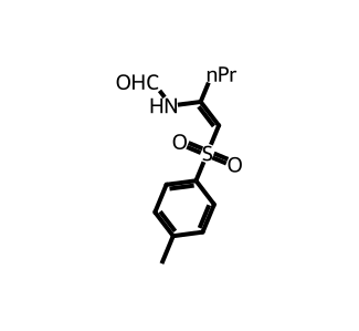 CCCC(=CS(=O)(=O)c1ccc(C)cc1)NC=O